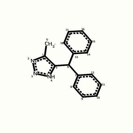 [CH2]c1nn[nH]c1C(c1ccccc1)c1ccccc1